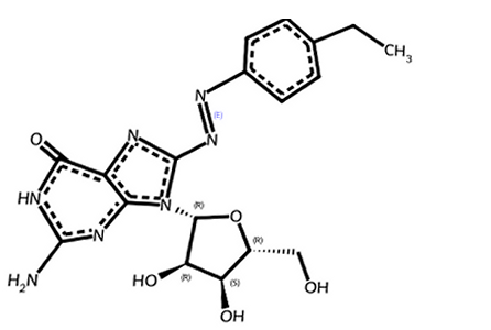 CCc1ccc(/N=N/c2nc3c(=O)[nH]c(N)nc3n2[C@@H]2O[C@H](CO)[C@@H](O)[C@H]2O)cc1